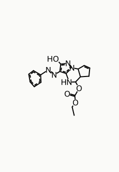 CCOC(=O)OC1Nc2c(N=Nc3ccccc3)c(O)nn2C2C=CCC12